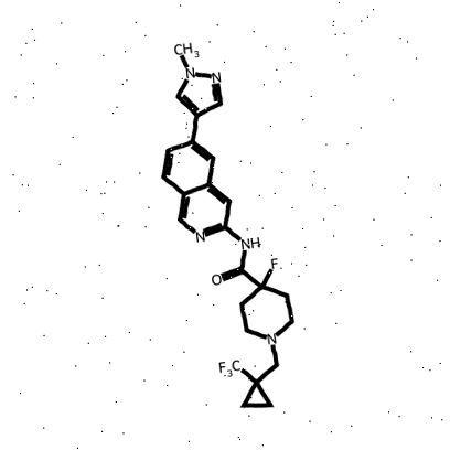 Cn1cc(-c2ccc3cnc(NC(=O)C4(F)CCN(CC5(C(F)(F)F)CC5)CC4)cc3c2)cn1